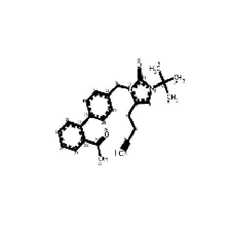 C#CCCc1cn(C(C)(C)C)c(=O)n1Cc1ccc(-c2ccccc2C(=O)O)cc1